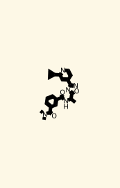 CC(NC(=O)c1cccc(C(=O)N(C)C)c1)c1nc(-c2ccnc(C3CC3)c2)no1